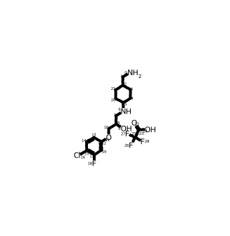 NCC1CCC(NCC(O)COc2ccc(Cl)c(F)c2)CC1.O=C(O)C(F)(F)F